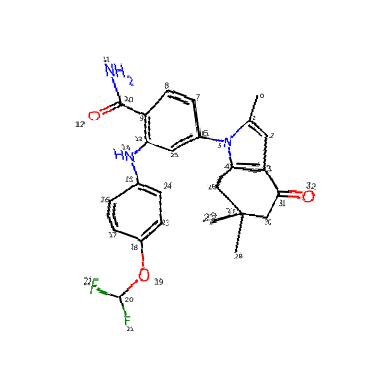 Cc1cc2c(n1-c1ccc(C(N)=O)c(Nc3ccc(OC(F)F)cc3)c1)CC(C)(C)CC2=O